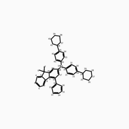 CC1(C)c2ccccc2-c2c(-c3ccccc3)cc(N(c3ccc(C4CCCCC4)cc3)c3ccc(C4CCCCC4)cc3)cc21